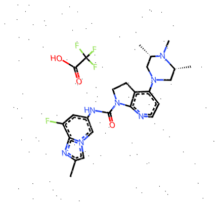 Cc1cn2cc(NC(=O)N3CCc4c(N5C[C@@H](C)N(C)[C@@H](C)C5)ccnc43)cc(F)c2n1.O=C(O)C(F)(F)F